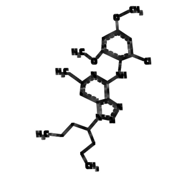 CCCC(CCC)n1nnc2c(Nc3c(Cl)cc(OC)cc3OC)nc(C)cc21